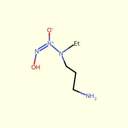 CCN(CCCN)/[N+]([O-])=N\O